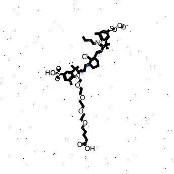 CCCC[N+]1=C(/C=C/C2=C(Cl)C(=C/C=C3/N(COCCOCCOCCOCCCCC(=O)O)c4c(C)cc(S(=O)(=O)O)cc4C3(C)C)/CCC2)C(C)(C)c2cc(SOO[O-])cc(C)c21